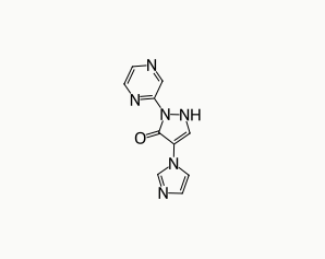 O=c1c(-n2ccnc2)c[nH]n1-c1cnccn1